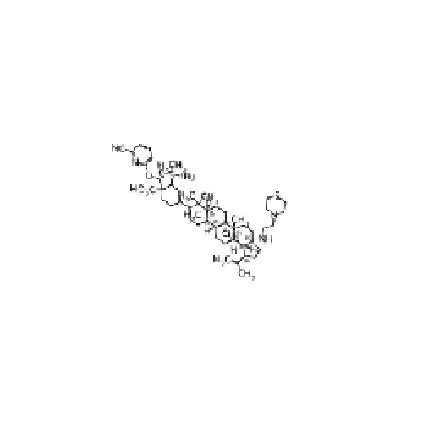 C=C(C)[C@@H]1CC[C@]2(NCCN3CCSCC3)CC[C@]3(C)[C@H](CC[C@@H]4[C@@]5(C)CC=C(C6=CC([Si](C)(C)C(C)(C)C)C(COc7cccc(C#N)n7)(C(=O)O)CC6)C(C)(C)[C@@H]5CC[C@]43C)[C@@H]12